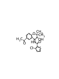 CC(=O)c1ccc2c(c1)[C@H](NC(=O)c1sccc1Cl)[C@@H](O)C(C)(C)O2